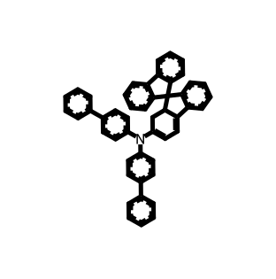 C1=C2c3ccccc3C3(c4ccccc4-c4ccccc43)C2CC(N(c2ccc(-c3ccccc3)cc2)c2ccc(-c3ccccc3)cc2)=C1